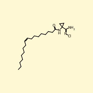 CCCCCCCC/C=C\CCCCCCCC(=O)NC1(/C(N)=N/Cl)CC1